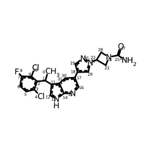 CC(c1c(Cl)ccc(F)c1Cl)c1c[nH]c2ncc(-c3cnn(C4CN(C(N)=O)C4)c3)cc12